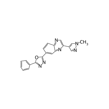 Cn1cc(-c2cnc3ccc(-c4nnc(-c5ccccc5)o4)cc3n2)cn1